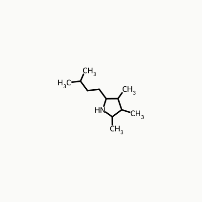 CC(C)CCC1NC(C)C(C)C1C